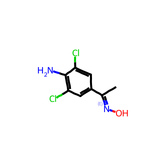 C/C(=N\O)c1cc(Cl)c(N)c(Cl)c1